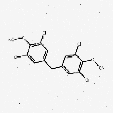 N#COc1c(Cl)cc(Cc2cc(Cl)c(OC#N)c(Cl)c2)cc1Cl